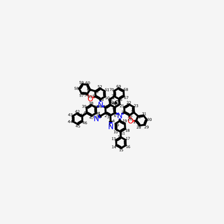 N#Cc1c(C#N)c(N(c2ccc(-c3ccccc3)cc2)c2cccc3c2oc2ccccc23)c2c(c1N(c1ccc(-c3ccccc3)cc1)c1cccc3c1oc1ccccc13)C1CCC2c2ccccc21